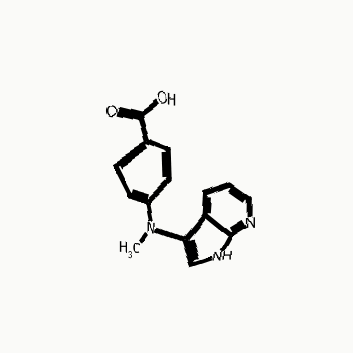 CN(c1ccc(C(=O)O)cc1)c1c[nH]c2ncccc12